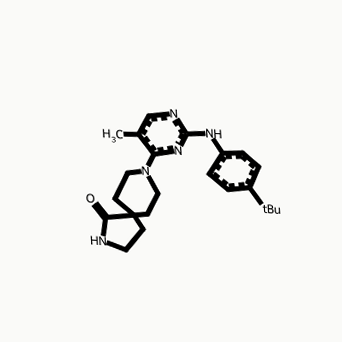 Cc1cnc(Nc2ccc(C(C)(C)C)cc2)nc1N1CCC2(CCNC2=O)CC1